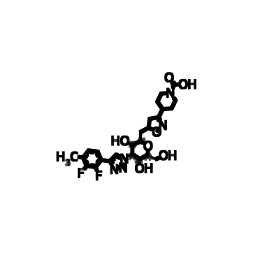 Cc1ccc(-c2cn([C@H]3[C@@H](O)[C@@H](CO)O[C@H](CC4CC(C5CCN(C(=O)O)CC5)=NO4)[C@@H]3O)nn2)c(F)c1F